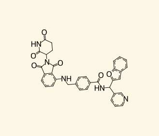 O=C1CCC(N2C(=O)c3cccc(NCc4ccc(C(=O)NC(c5cccnc5)c5cc6ccccc6o5)cc4)c3C2=O)C(=O)N1